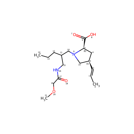 CC=C[C@@H]1C[C@H](C(=O)O)N(CC(CCC)CNC(=O)COC)C1